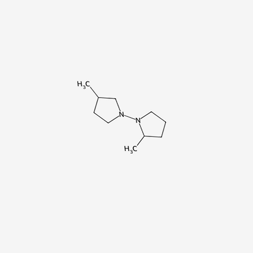 CC1CCN(N2CCCC2C)C1